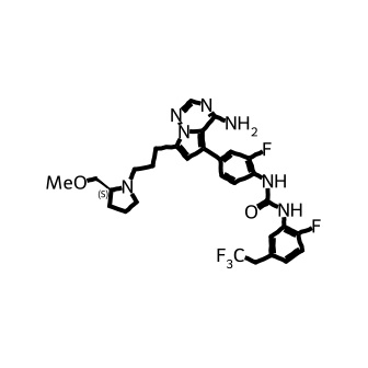 COC[C@@H]1CCCN1CCCc1cc(-c2ccc(NC(=O)Nc3cc(CC(F)(F)F)ccc3F)c(F)c2)c2c(N)ncnn12